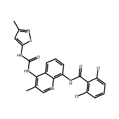 Cc1cc(NC(=O)Nc2c(C)cnc3c(NC(=O)c4c(Cl)cccc4Cl)cccc23)sn1